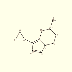 CC(C)N1CCn2cnc(C3CC3)c2C1